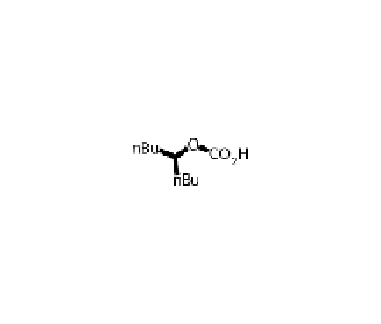 CCCCC(CCCC)OC(=O)O